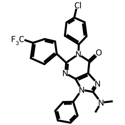 CN(C)c1nc2c(=O)n(-c3ccc(Cl)cc3)c(-c3ccc(C(F)(F)F)cc3)nc2n1-c1ccccc1